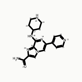 NC(=O)c1cn2cc(-c3ccncc3)nc(NC3CCNCC3)c2n1